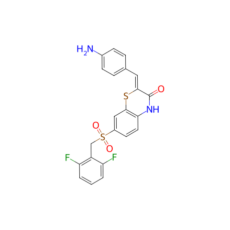 Nc1ccc(C=C2Sc3cc(S(=O)(=O)Cc4c(F)cccc4F)ccc3NC2=O)cc1